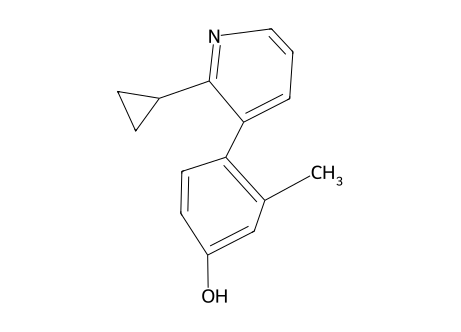 Cc1cc(O)ccc1-c1cccnc1C1CC1